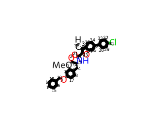 COC(=O)[C@H](Cc1ccc(OCc2ccccc2)cc1)NC(=O)c1oc2cc(-c3ccc(Cl)cc3)ccc2c1C